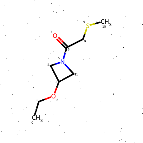 CCOC1CN(C(=O)CSC)C1